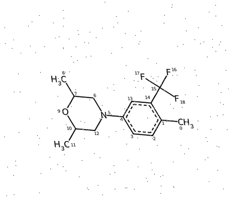 Cc1ccc(N2CC(C)OC(C)C2)cc1C(F)(F)F